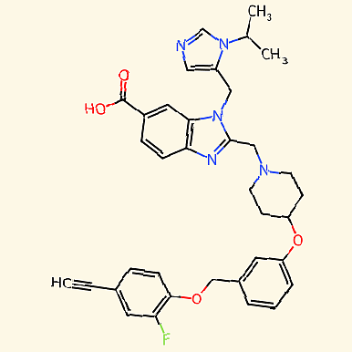 C#Cc1ccc(OCc2cccc(OC3CCN(Cc4nc5ccc(C(=O)O)cc5n4Cc4cncn4C(C)C)CC3)c2)c(F)c1